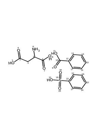 NC(CC(=O)O)C(=O)O.O=C(O)c1ccccc1.O=S(=O)(O)c1ccccc1